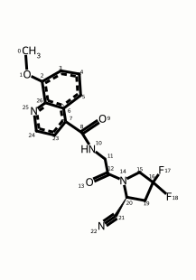 COc1cccc2c(C(=O)NCC(=O)N3CC(F)(F)C[C@H]3C#N)ccnc12